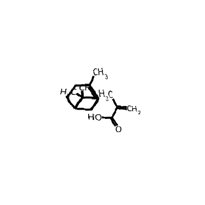 C=C(C)C(=O)O.CC1=C2CC(CC1)C2(C)C